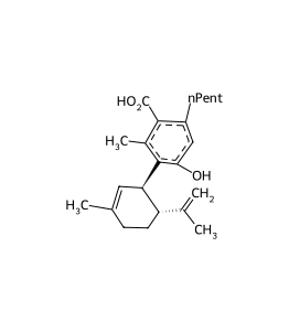 C=C(C)[C@@H]1CCC(C)=C[C@H]1c1c(O)cc(CCCCC)c(C(=O)O)c1C